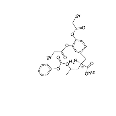 COC(=O)[C@](N)(Cc1ccc(OC(=O)CC(C)C)c(OC(=O)CC(C)C)c1)CC(C)OC(=O)Oc1ccccc1